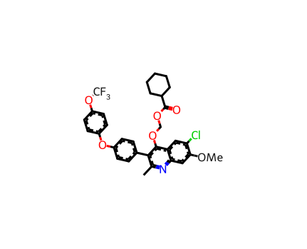 COc1cc2nc(C)c(-c3ccc(Oc4ccc(OC(F)(F)F)cc4)cc3)c(OCOC(=O)C3CCCCC3)c2cc1Cl